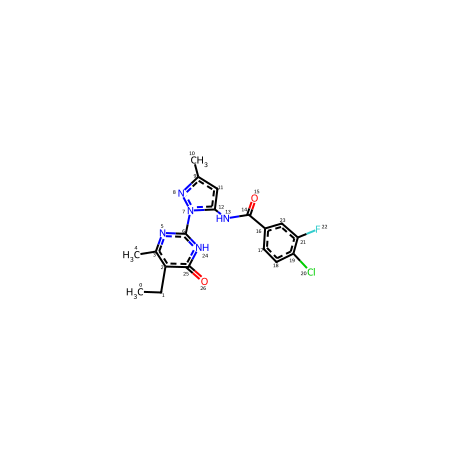 CCc1c(C)nc(-n2nc(C)cc2NC(=O)c2ccc(Cl)c(F)c2)[nH]c1=O